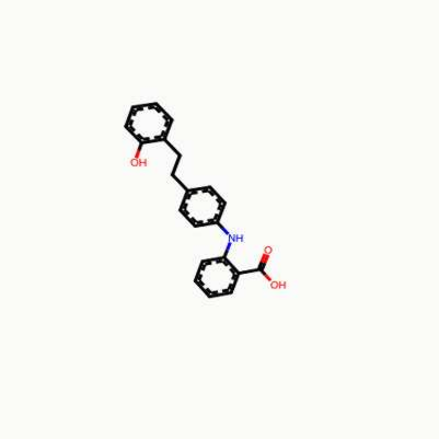 O=C(O)c1ccccc1Nc1ccc(CCc2ccccc2O)cc1